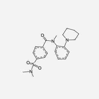 CN(C(=O)c1ccc(S(=O)(=O)N(C)C)cc1)c1ccccc1N1CCCCC1